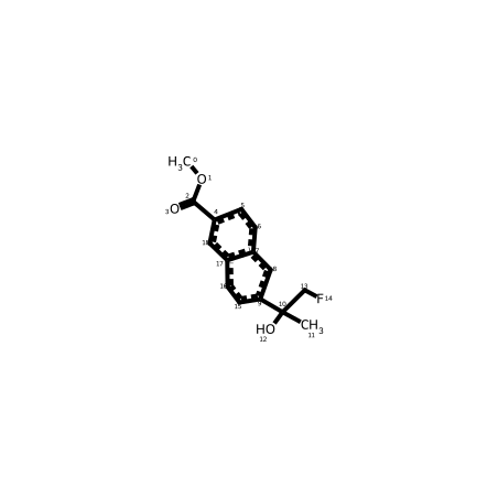 COC(=O)c1ccc2cc(C(C)(O)CF)ccc2c1